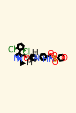 O=C(NS(=O)(=O)C1CCOCC1)c1ccc(N2C[C@@H]3C[C@H]2C[C@H]3OCc2c(-c3c(Cl)cccc3Cl)cnn2C2CC2)cc1